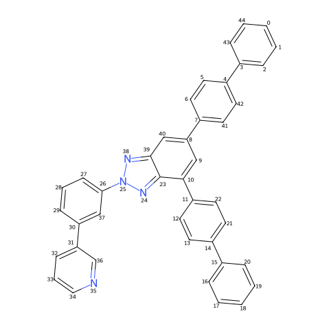 c1ccc(-c2ccc(-c3cc(-c4ccc(-c5ccccc5)cc4)c4nn(-c5cccc(-c6cccnc6)c5)nc4c3)cc2)cc1